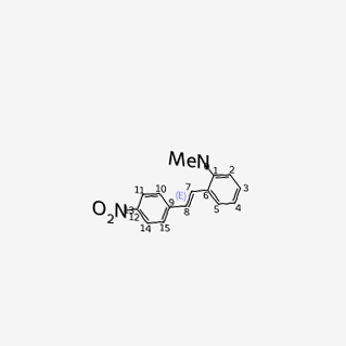 CNc1ccccc1/C=C/c1ccc([N+](=O)[O-])cc1